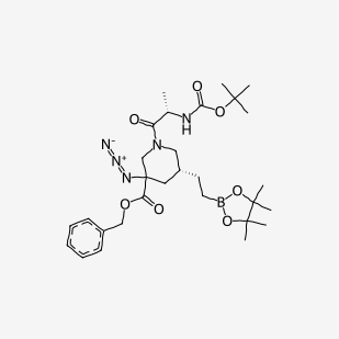 C[C@H](NC(=O)OC(C)(C)C)C(=O)N1C[C@H](CCB2OC(C)(C)C(C)(C)O2)CC(N=[N+]=[N-])(C(=O)OCc2ccccc2)C1